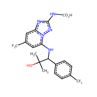 CC(C)(O)C(Nc1cc(C(F)(F)F)cc2nc(NC(=O)O)nn12)c1ccc(C(F)(F)F)cc1